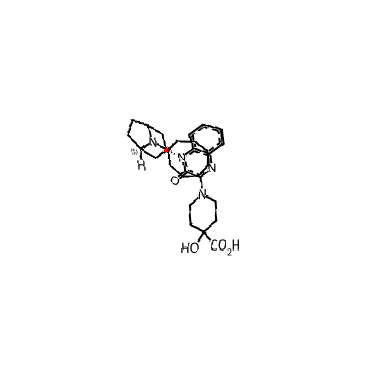 O=C(O)C1(O)CCN(c2nc3ccccc3n([C@H]3CC4CC[C@@H](C3)N4C3CCCCCCC3)c2=O)CC1